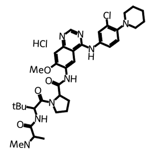 CNC(C)C(=O)NC(C(=O)N1CCCC1C(=O)Nc1cc2c(Nc3ccc(N4CCCCC4)c(Cl)c3)ncnc2cc1OC)C(C)(C)C.Cl